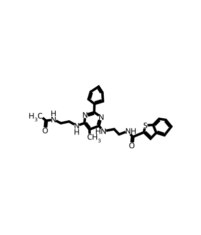 CC(=O)NCCNc1nc(-c2ccccc2)nc(NCCNC(=O)c2cc3ccccc3s2)c1C